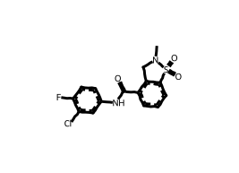 CN1Cc2c(C(=O)Nc3ccc(F)c(Cl)c3)cccc2S1(=O)=O